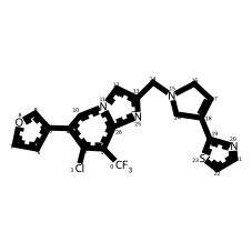 FC(F)(F)c1c(Cl)c(-c2ccoc2)cn2cc(CN3CC=C(c4nccs4)C3)nc12